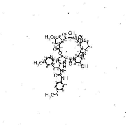 CCc1ccc(NC(=O)N[C@@H](Cc2cccc(C)c2)C(=O)N[C@@H]2C(=O)N3C[C@H](O)C[C@H]3C(=O)N3CCCC[C@H]3C(=O)N[C@@H](C)C(=O)N3C[C@H](C)C[C@H]3C(=O)O[C@H]2C)cc1